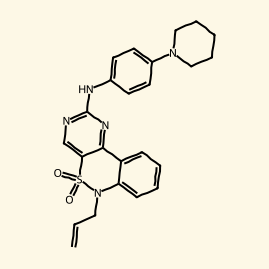 C=CCN1c2ccccc2-c2nc(Nc3ccc(N4CCCCC4)cc3)ncc2S1(=O)=O